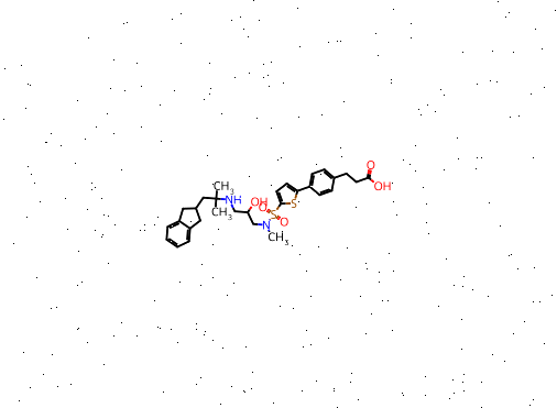 CN(CC(O)CNC(C)(C)CC1Cc2ccccc2C1)S(=O)(=O)c1ccc(-c2ccc(CCC(=O)O)cc2)s1